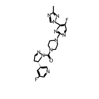 Cc1ncn(-c2nc(N3CCN(C(=O)N4N=CC[C@H]4c4cncc(F)c4)CC3)ncc2F)n1